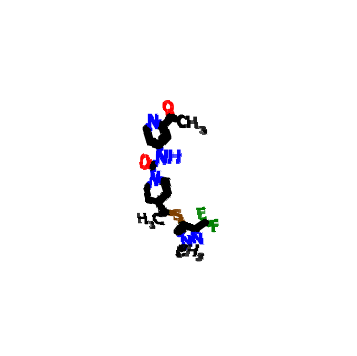 CC(=O)c1cc(NC(=O)N2CCC(C(C)Sc3cn(C)nc3C(F)F)CC2)ccn1